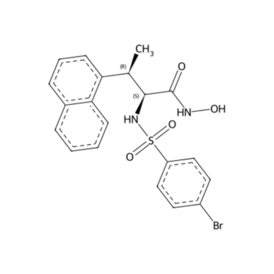 C[C@H](c1cccc2ccccc12)[C@H](NS(=O)(=O)c1ccc(Br)cc1)C(=O)NO